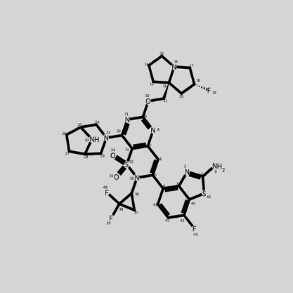 Nc1nc2c(C3=Cc4nc(OC[C@@]56CCCN5C[C@H](F)C6)nc(N5CC6CCC(C5)N6)c4S(=O)(=O)N3C3CC3(F)F)ccc(F)c2s1